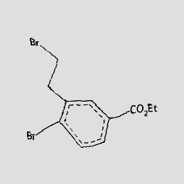 CCOC(=O)c1ccc(Br)c(CCBr)c1